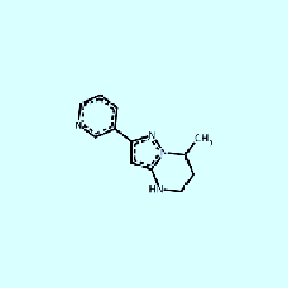 CC1CCNc2cc(-c3cccnc3)nn21